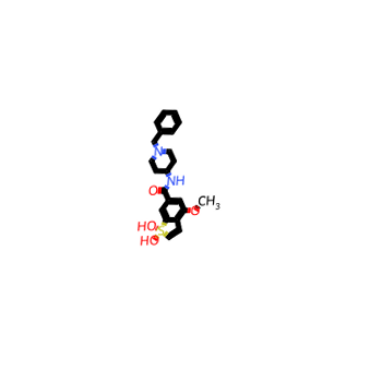 COc1cc(C(=O)NC2CCN(Cc3ccccc3)CC2)cc2c1C=CS2(O)O